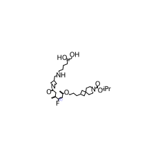 C=C(/C=C(/F)C(=C)CC(=O)N1CC(CNCCCC[C@H](O)CO)C1)OCCCC1CC2(CCN(C(=O)OC(C)C)CC2)C1